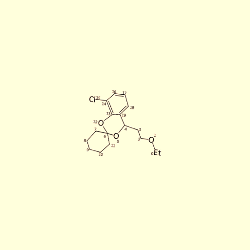 CCOCCC1OC2(CCCCC2)Oc2c(Cl)cccc21